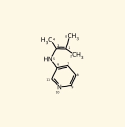 CC(C)=C(C)Nc1cccnc1